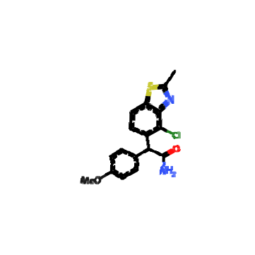 COc1ccc(C(C(N)=O)c2ccc3sc(C)nc3c2Cl)cc1